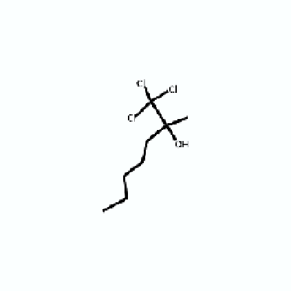 CCCCCC(C)(O)C(Cl)(Cl)Cl